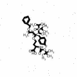 CC(C)[Si](O[C@@H]([C@H](C)OCc1ccccc1)[C@@H](Cc1ccc(F)cc1)OCCC(NC(=O)OC(C)(C)C)C(=O)O)(C(C)C)C(C)C